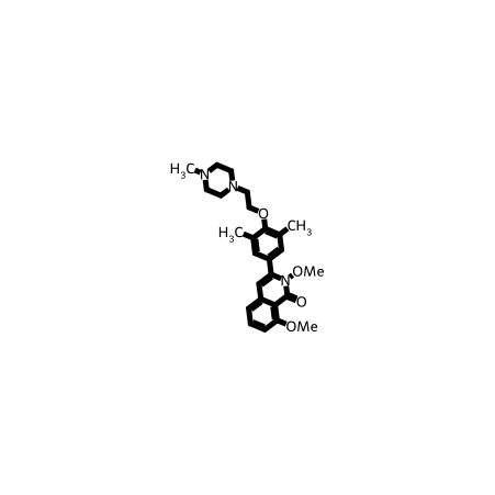 COc1cccc2cc(-c3cc(C)c(OCCN4CCN(C)CC4)c(C)c3)n(OC)c(=O)c12